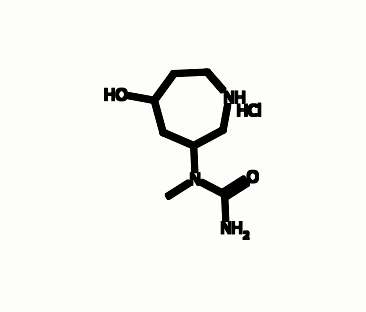 CN(C(N)=O)C1CNCCC(O)C1.Cl